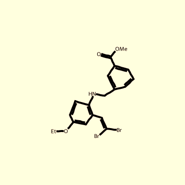 CCOc1ccc(NCc2cccc(C(=O)OC)c2)c(C=C(Br)Br)c1